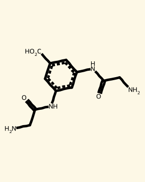 NCC(=O)Nc1cc(NC(=O)CN)cc(C(=O)O)c1